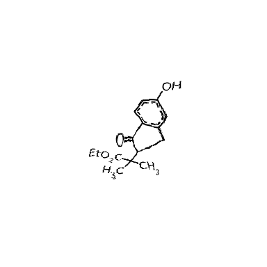 CCOC(=O)C(C)(C)C1CCc2cc(O)ccc2C1=O